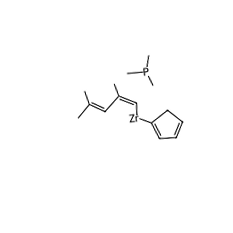 CC(C)=C/C(C)=[CH]\[Zr][C]1=CC=CC1.CP(C)C